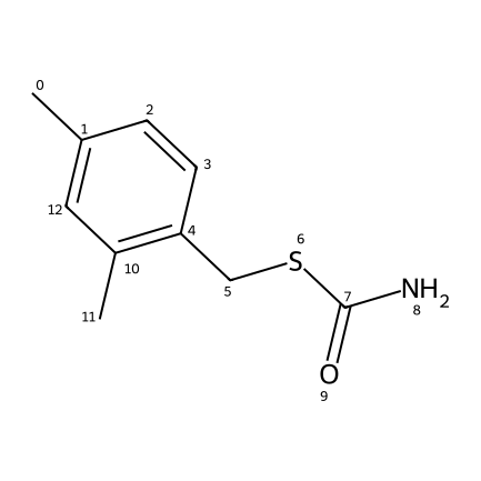 Cc1ccc(CSC(N)=O)c(C)c1